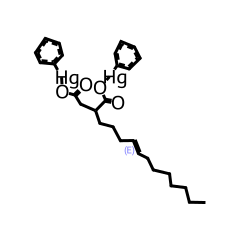 CCCCCCC/C=C/CCCC(CC(=O)[O][Hg][c]1ccccc1)C(=O)[O][Hg][c]1ccccc1